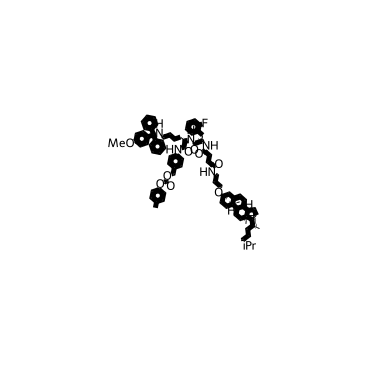 COc1ccc(C(NCCCC[C@H](NC(=O)[C@H](Cc2ccccc2F)NC(=O)CCC(=O)NCCCO[C@H]2CC[C@@]3(C)C(=CC[C@H]4[C@@H]5CC[C@H]([C@H](C)CCCC(C)C)[C@@]5(C)CC[C@@H]43)C2)C(=O)Nc2ccc(COC(=O)Oc3ccc(C)cc3)cc2)(c2ccccc2)c2ccccc2)cc1